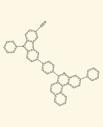 N#Cc1ccc2c(c1)c1cc(-c3ccc(-c4nc5cc(-c6ccccc6)ccc5c5c4ccc4ccccc45)cc3)ccc1n2-c1ccccc1